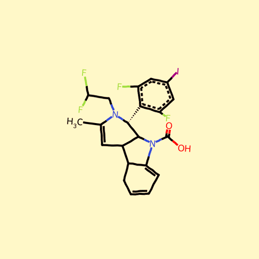 CC1=CC2C3CC=CC=C3N(C(=O)O)C2[C@@H](c2c(F)cc(I)cc2F)N1CC(F)F